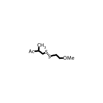 COCCSSCC(C)C(C)=O